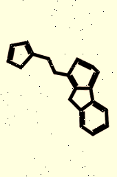 C1=CCC(CCc2cccc3c2Cc2ccccc2-3)=C1